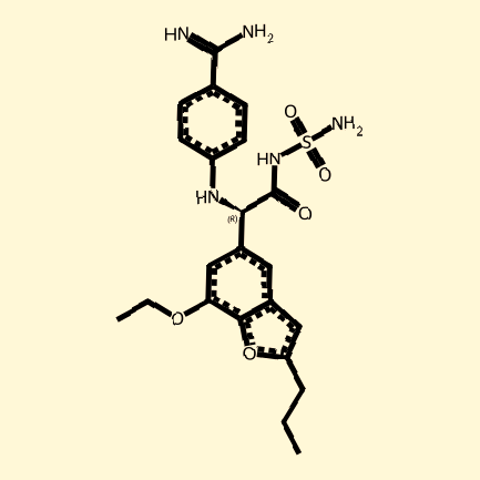 CCCc1cc2cc([C@@H](Nc3ccc(C(=N)N)cc3)C(=O)NS(N)(=O)=O)cc(OCC)c2o1